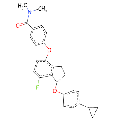 CN(C)C(=O)c1ccc(Oc2ccc(F)c3c2CCC3Oc2ccc(C3CC3)cc2)cc1